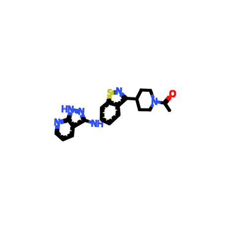 CC(=O)N1CCC(c2nsc3cc(Nc4n[nH]c5ncccc45)ccc23)CC1